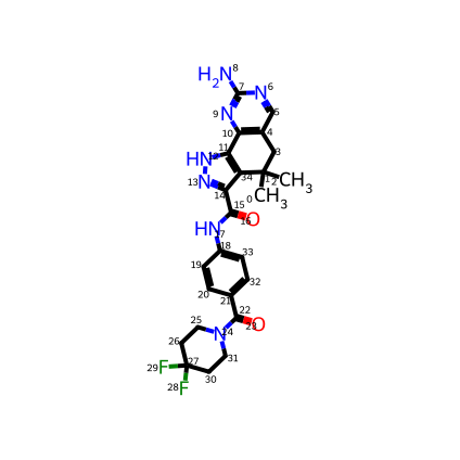 CC1(C)Cc2cnc(N)nc2-c2[nH]nc(C(=O)Nc3ccc(C(=O)N4CCC(F)(F)CC4)cc3)c21